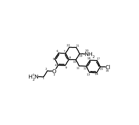 NCCOc1ccc2c(c1)C(Cc1ccc(Cl)cc1)C(N)CC2